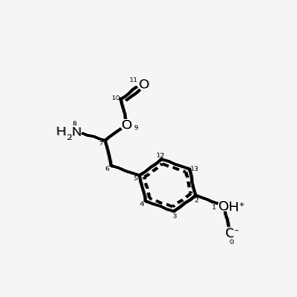 [CH2-][OH+]c1ccc(CC(N)OC=O)cc1